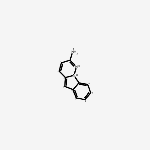 Nc1ccc2cc3ccccc3n2n1